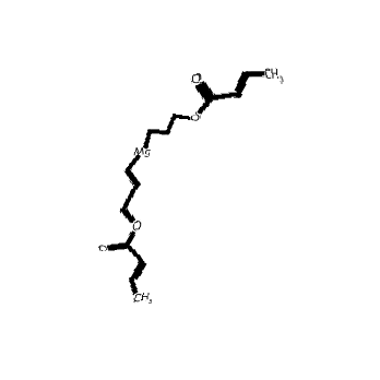 CC=CC(=O)OCC[CH2][Mg][CH2]CCOC(=O)C=CC